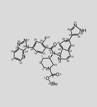 CC(C)(C)OC(=O)N1CCC[C@@H](N(C(=O)c2ccc(-n3nnc4cccnc43)cc2F)c2nccc3cc(-c4cn[nH]c4)ccc23)C1